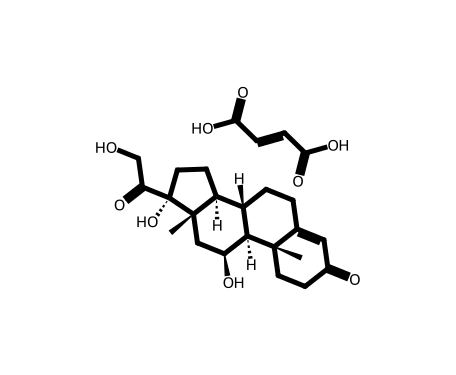 C[C@]12CCC(=O)C=C1CC[C@@H]1[C@@H]2[C@@H](O)C[C@@]2(C)[C@H]1CC[C@]2(O)C(=O)CO.O=C(O)C=CC(=O)O